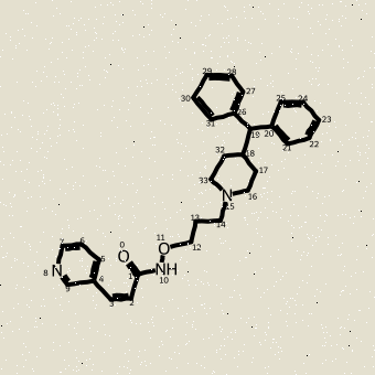 O=C(/C=C\c1cccnc1)NOCCCN1CCC(C(c2ccccc2)c2ccccc2)CC1